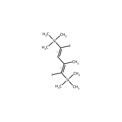 CC(/C=C(\I)[Si](C)(C)C)=C(/I)[Si](C)(C)C